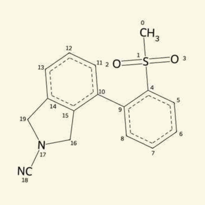 CS(=O)(=O)c1ccccc1-c1cccc2c1CN(C#N)C2